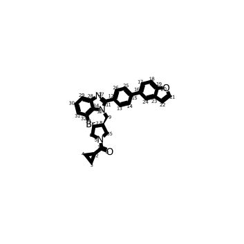 O=C(C1CC1)N1CC[C@@H](Cn2c(-c3ccc(-c4ccc5occc5c4)cc3)nc3cccc(Br)c32)C1